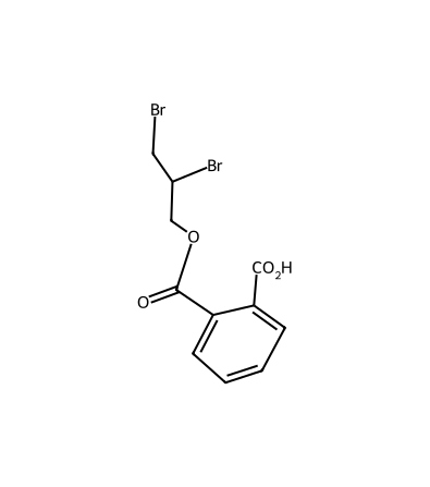 O=C(O)c1ccccc1C(=O)OCC(Br)CBr